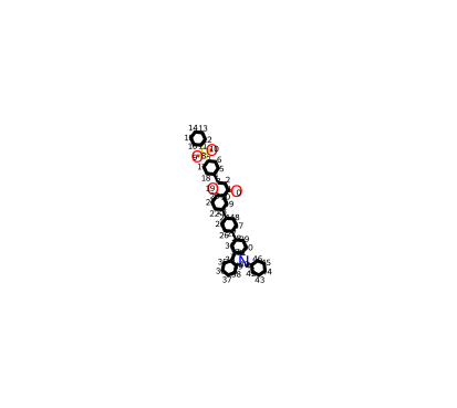 O=c1cc(-c2ccc(S(=O)(=O)c3ccccc3)cc2)oc2ccc(-c3ccc(-c4ccc5c(c4)c4ccccc4n5-c4ccccc4)cc3)cc12